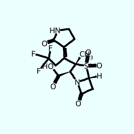 C[C@]1(C(CC(F)(F)F)=C2CCNC2=O)[C@H](C(=O)O)N2C(=O)C[C@H]2S1(=O)=O